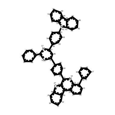 c1ccc(-c2nc(-c3ccc(-c4nc5c(-c6ccccc6)cccc5c5c4oc4ccccc45)cc3)cc(-c3ccc(-n4c5ccccc5c5ccccc54)cc3)n2)cc1